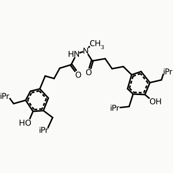 CC(C)Cc1cc(CCCC(=O)NN(C)C(=O)CCCc2cc(CC(C)C)c(O)c(CC(C)C)c2)cc(CC(C)C)c1O